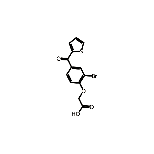 O=C(O)COc1ccc(C(=O)c2cccs2)cc1Br